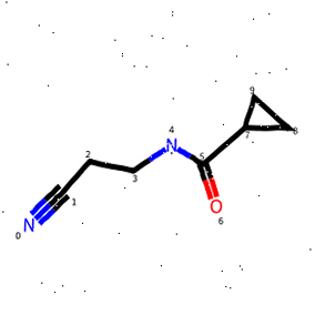 N#CCC[N]C(=O)C1CC1